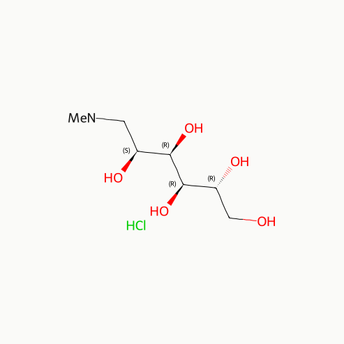 CNC[C@H](O)[C@@H](O)[C@H](O)[C@H](O)CO.Cl